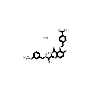 COc1cccc(CNC(=O)c2nc3ccc(F)c(OCc4ccc(C(=O)O)cc4)c3c(=O)[nH]2)c1.[NaH]